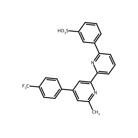 Cc1cc(-c2ccc(C(F)(F)F)cc2)cc(-c2cccc(-c3cccc(S(=O)(=O)O)c3)n2)n1